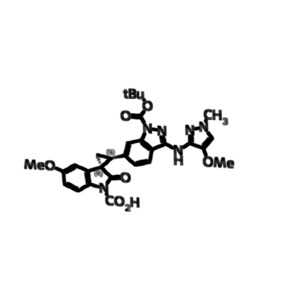 COc1ccc2c(c1)[C@]1(C[C@H]1c1ccc3c(Nc4nn(C)cc4OC)nn(C(=O)OC(C)(C)C)c3c1)C(=O)N2C(=O)O